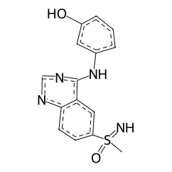 CS(=N)(=O)c1ccc2ncnc(Nc3cccc(O)c3)c2c1